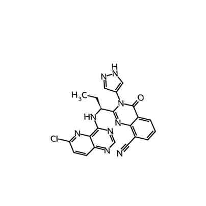 CC[C@H](Nc1ncnc2ccc(Cl)nc12)c1nc2c(C#N)cccc2c(=O)n1-c1cn[nH]c1